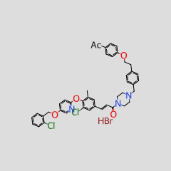 Br.CC(=O)c1ccc(OCCc2ccc(CN3CCN(C(=O)C=Cc4cc(C)c(Oc5ccc(OCc6ccccc6Cl)cn5)c(Cl)c4)CC3)cc2)cc1